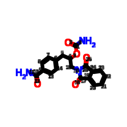 NC(=O)OC(Cc1ccc(C(N)=O)cc1)CN1C(=O)c2ccccc2C1=O